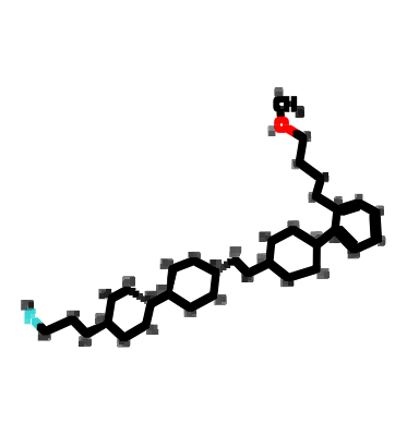 COCCCCc1ccccc1C1CCC(CC[C@H]2CC[C@H]([C@H]3CC[C@H](CCCF)CC3)CC2)CC1